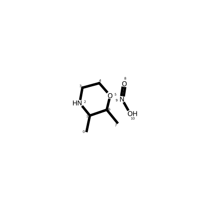 CC1NCCOC1C.O=NO